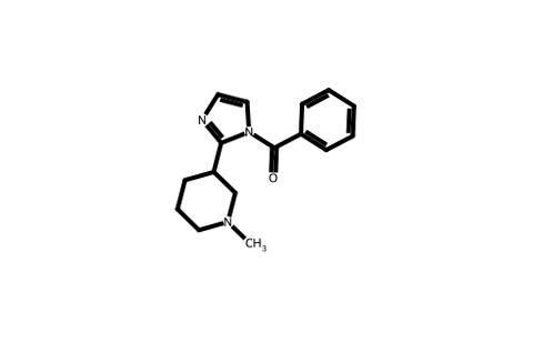 CN1CCCC(c2nccn2C(=O)c2ccccc2)C1